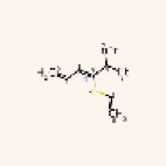 C=C/C=C(\SC=C)C(CC)CCC